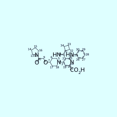 N=C(c1c(N2CCC(OCC(=O)N3CCCC3)CC2)cc(C(=O)O)nc1Nc1ccccc1)C1CCC1